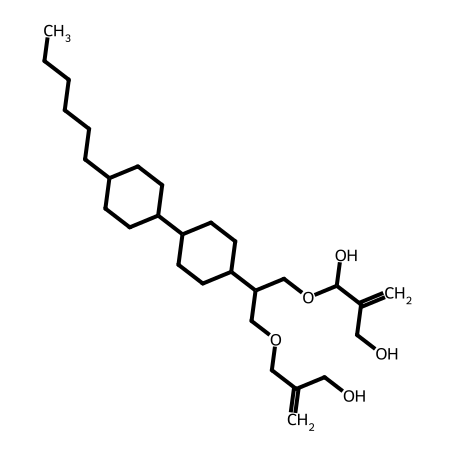 C=C(CO)COCC(COC(O)C(=C)CO)C1CCC(C2CCC(CCCCCC)CC2)CC1